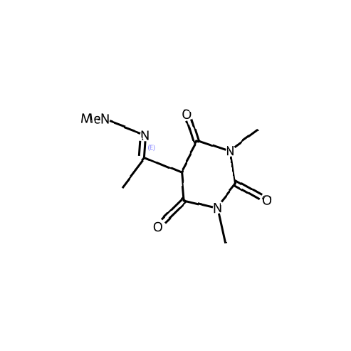 CN/N=C(\C)C1C(=O)N(C)C(=O)N(C)C1=O